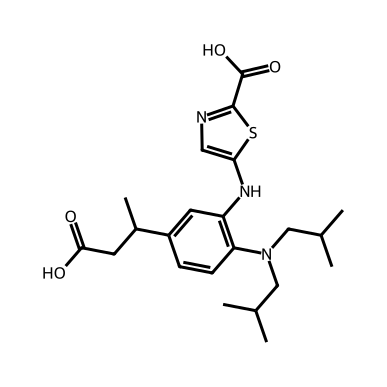 CC(C)CN(CC(C)C)c1ccc(C(C)CC(=O)O)cc1Nc1cnc(C(=O)O)s1